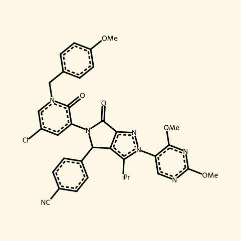 COc1ccc(Cn2cc(Cl)cc(N3C(=O)c4nn(-c5cnc(OC)nc5OC)c(C(C)C)c4C3c3ccc(C#N)cc3)c2=O)cc1